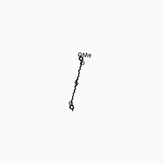 COc1ccc(OCCCCCCCCCCCSSCCCCCCCCCCCOc2ccc(C)cc2)cc1